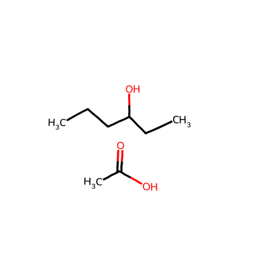 CC(=O)O.CCCC(O)CC